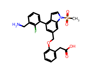 CS(=O)(=O)n1ccc2c(-c3cccc(CN)c3F)cc(COc3ccccc3CC(=O)O)cc21